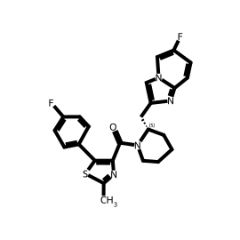 Cc1nc(C(=O)N2CCCC[C@H]2Cc2cn3cc(F)ccc3n2)c(-c2ccc(F)cc2)s1